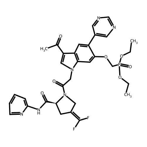 CCOP(=O)(COc1cc2c(cc1-c1cncnc1)c(C(C)=O)cn2CC(=O)N1CC(=C(F)F)C[C@H]1C(=O)Nc1ccccn1)OCC